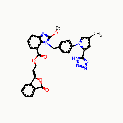 CCOc1nc2cccc(C(=O)OC/C=C3\OC(=O)c4ccccc43)c2n1Cc1ccc(-n2cc(C)cc2-c2nnn[nH]2)cc1